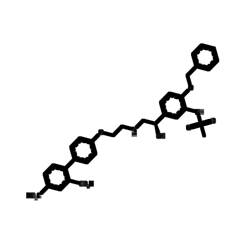 CS(=O)(=O)Nc1cc([C@@H](O)CNCCOc2ccc(-c3ccc(C(=O)O)cc3C(=O)O)cc2)ccc1OCc1ccccc1